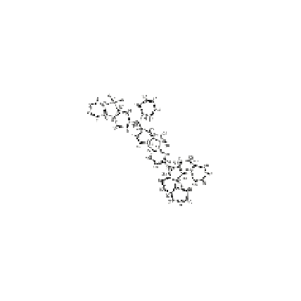 CC1(C)c2ccccc2-c2ccc(N(c3ccccc3)c3ccc4c(c3)C(C)(C)c3cc(-n5c6ccc7ccccc7c6c6c7ccccc7ccc65)ccc3-4)cc21